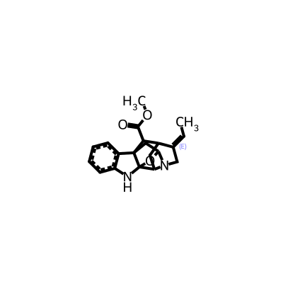 C/C=C1/CN2C3CC45c6ccccc6NC4(O3)C2CC1C5C(=O)OC